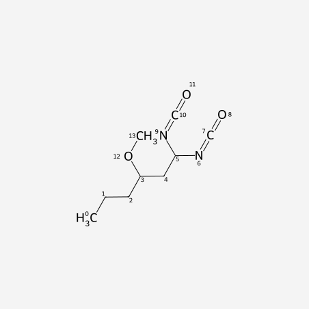 CCCC(CC(N=C=O)N=C=O)OC